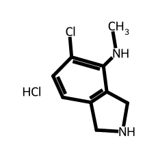 CNc1c(Cl)ccc2c1CNC2.Cl